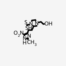 Cc1nc(CCC2CN(CCO)CCN2C(=S)S)c([N+](=O)[O-])[nH]1